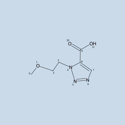 COCCn1nncc1C(=O)O